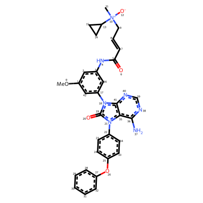 COc1cc(NC(=O)/C=C/C[N+](C)([O-])C2CC2)cc(-n2c(=O)n(-c3ccc(Oc4ccccc4)cc3)c3c(N)ncnc32)c1